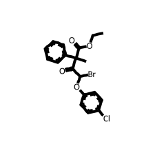 CCOC(=O)C(C)(C(=O)C(Br)Oc1ccc(Cl)cc1)c1ccccc1